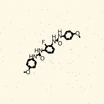 COc1ccc(NC(=O)Nc2cccc(NC(=O)Nc3ccc(OC)cc3)c2F)cc1